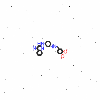 COc1ccc(CNC[C@H]2CC[C@@H](Nc3cc(N(C)C)c4ccccc4n3)CC2)cc1OC